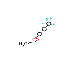 C=CCCC1COC(c2ccc(-c3ccc(-c4cc(F)c(CF)c(F)c4)c(F)c3)c(F)c2)OC1